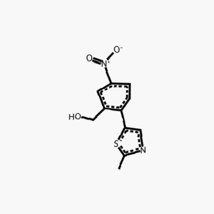 Cc1ncc(-c2ccc([N+](=O)[O-])cc2CO)s1